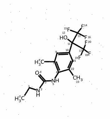 CCNC(=O)Nc1c(C)cc(C(O)(C(F)(F)F)C(F)(F)F)cc1C